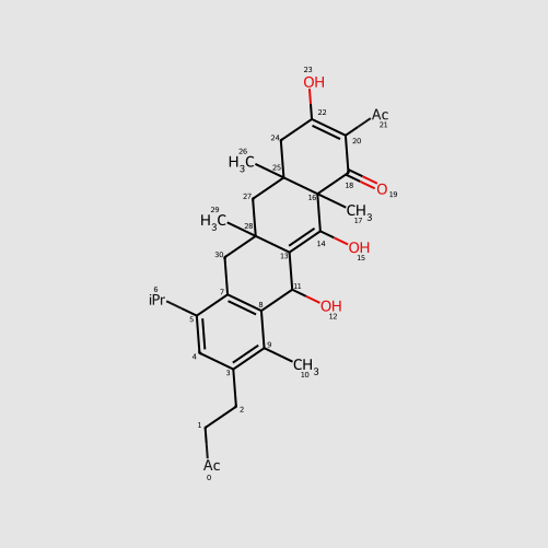 CC(=O)CCc1cc(C(C)C)c2c(c1C)C(O)C1=C(O)C3(C)C(=O)C(C(C)=O)=C(O)CC3(C)CC1(C)C2